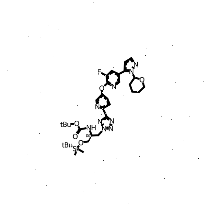 CC(C)(C)OC(=O)N[C@H](CO[Si](C)(C)C(C)(C)C)Cn1nnc(-c2ccc(Oc3ncc(-c4ccnn4C4CCCCO4)cc3F)cn2)n1